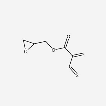 C=C(C=S)C(=O)OCC1CO1